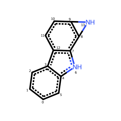 c1ccc2c(c1)[nH]c1c3c(ccc12)N3